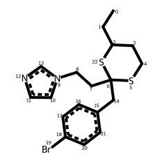 CCC1CCSC(CCn2ccnc2)(Cc2ccc(Br)cc2)S1